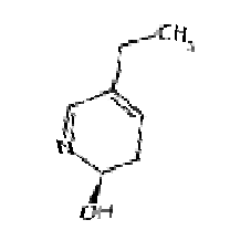 CCC1=CC[C@@H](O)N=C1